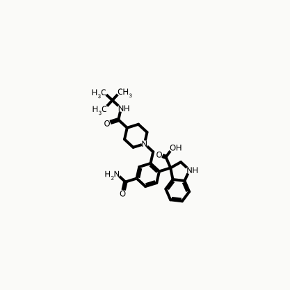 CC(C)(C)NC(=O)C1CCN(Cc2cc(C(N)=O)ccc2C2(C(=O)O)CNc3ccccc32)CC1